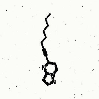 CCCCCCC#Cc1ccn2nccc2n1